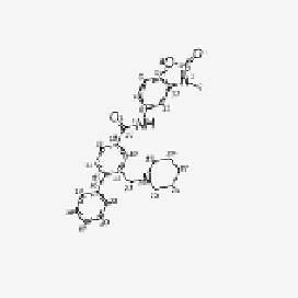 Cn1c(=O)oc2ccc(NC(=O)c3ccc(-c4ccccc4)c(CN4CCCCC4)c3)cc21